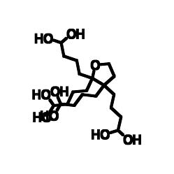 OC(O)CCCC1(CCCC(O)O)CCOC1(CCCC(O)O)CCCC(O)O